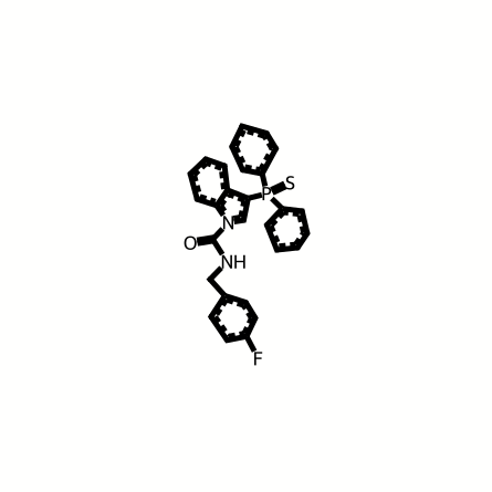 O=C(NCc1ccc(F)cc1)n1cc(P(=S)(c2ccccc2)c2ccccc2)c2ccccc21